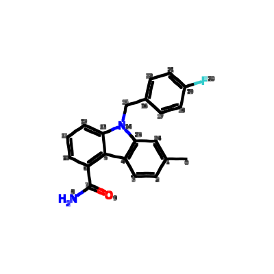 Cc1c[c]c2c3c(C(N)=O)cccc3n(Cc3ccc(F)cc3)c2c1